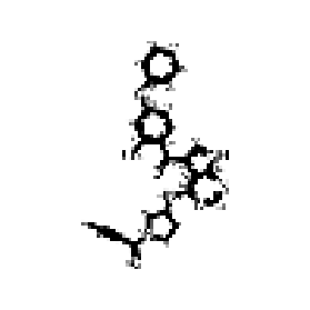 CC#CC(=O)N1CCC(Nc2ncnc3[nH]cc(C(=O)c4ccc(Oc5ccccc5)cc4Cl)c23)C1